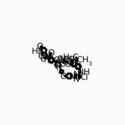 CNC(=O)COc1cc2cc(Nc3nc(N4CCC(O[C@H]5C[C@H](N6CCC(O)(c7ccc8c(c7)C(=O)N(C7CCC(=O)NC7=O)C8=O)CC6)C5)CC4)ncc3Cl)ccc2n(C(C)C)c1=O